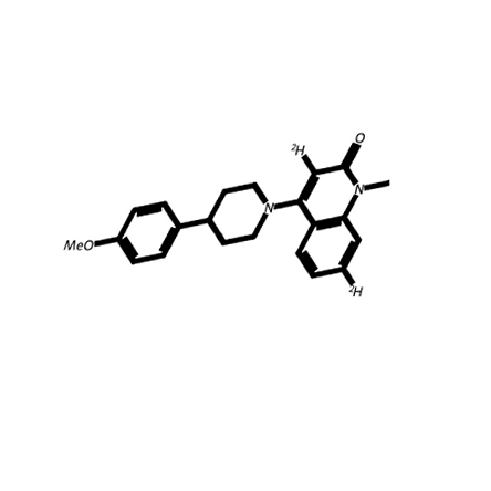 [2H]c1ccc2c(N3CCC(c4ccc(OC)cc4)CC3)c([2H])c(=O)n(C)c2c1